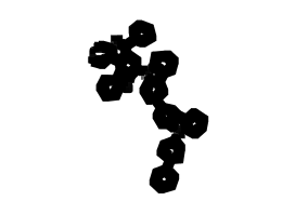 c1ccc(-c2ccc(-n3c4ccccc4c4cc(-c5ccc6c(c5)c5ccccc5n6-c5cc6c(-c7ccccc7)nc7ccccc7c6c6c5sc5ccccc56)ccc43)cc2)cc1